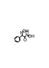 O=C(NO)C(=NO)c1ccccc1